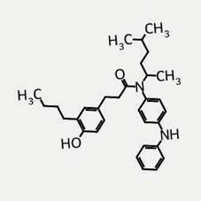 CCCCc1cc(CCC(=O)N(c2ccc(Nc3ccccc3)cc2)C(C)CCC(C)C)ccc1O